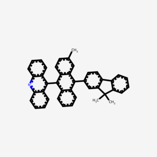 Cc1ccc2c(-c3c4ccccc4nc4ccccc34)c3ccccc3c(-c3ccc4c(c3)C(C)(C)c3ccccc3-4)c2c1